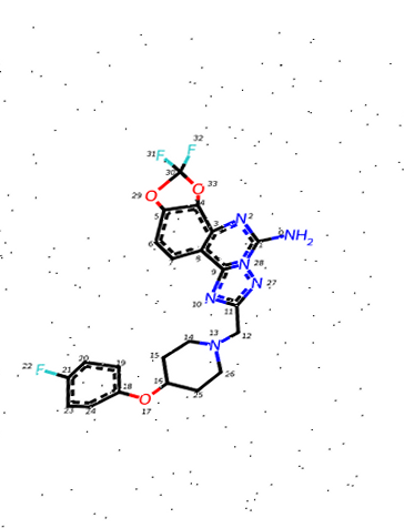 Nc1nc2c3c(ccc2c2nc(CN4CCC(Oc5ccc(F)cc5)CC4)nn12)OC(F)(F)O3